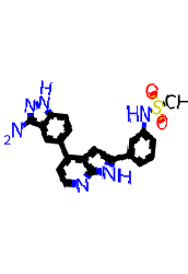 CS(=O)(=O)Nc1cccc(-c2cc3c(-c4ccc5[nH]nc(N)c5c4)ccnc3[nH]2)c1